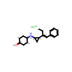 CC/C(=C\c1ccccc1)C1CC1NC1CCC(=O)CC1.Cl